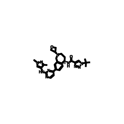 Cc1nn(C)cc1Nc1nccc(-c2ccc3c(c2)CN(C2COC2)CC[C@@H]3NC(=O)c2cn(C(C)(C)C)nn2)n1